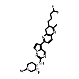 CC(=O)N1CC[C@H](Nc2ncc3c(-c4ccc5c(n4)CC(CCCC(F)F)C(C)=N5)ccn3n2)[C@H](F)C1